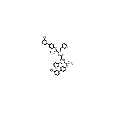 C[C@H](Oc1ccc(-c2cccc(Cl)c2)cc1)[C@H](CCc1cccnc1)OC(=O)C(=O)O[C@@H](CCc1cccnc1)[C@H](C)Oc1ccc(-c2cccc(Cl)c2)cc1